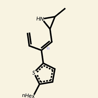 C=C/C(=C\C1NC1C)c1ccc(CCCCCC)s1